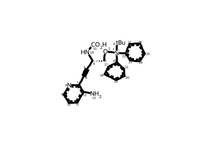 CC(C)(C)[Si](OC[C@H](C#Cc1ncccc1N)NC(=O)O)(c1ccccc1)c1ccccc1